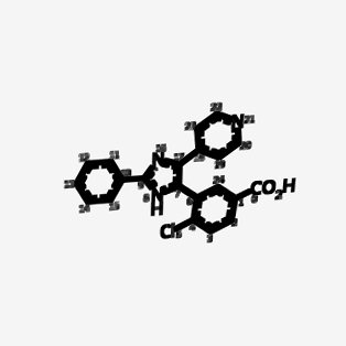 O=C(O)c1ccc(Cl)c(-c2[nH]c(-c3ccccc3)nc2-c2ccncc2)c1